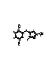 Cn1nc(C#N)cc1Cc1cc(F)cnc1Cl